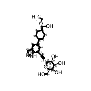 CCOC(O)C1CC=C(c2cc(C#C[C@H]3O[C@H](CO)[C@@H](O)[C@H](O)[C@@H]3O)c3[nH]ncc3c2)CC1